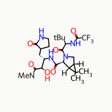 CNC(=O)C(O)[C@H](CC1CCNC1=O)NC(=O)[C@@H]1[C@@H]2[C@H](CN1C(=O)C(NC(=O)C(F)(F)F)C(C)(C)C)C2(C)C